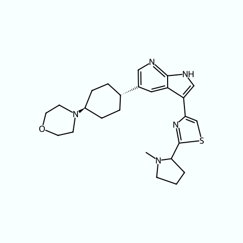 CN1CCCC1c1nc(-c2c[nH]c3ncc([C@H]4CC[C@H](N5CCOCC5)CC4)cc23)cs1